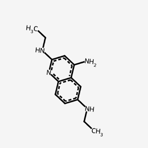 CCNc1ccc2nc(NCC)cc(N)c2c1